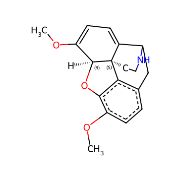 COC1=CC=C2C3Cc4ccc(OC)c5c4[C@@]2(CCN3)[C@H]1O5